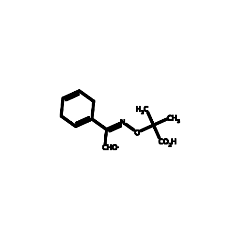 CC(C)(ON=C([C]=O)C1=CCC=CC1)C(=O)O